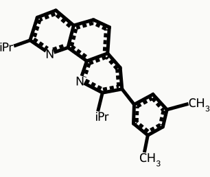 Cc1cc(C)cc(-c2cc3ccc4ccc(C(C)C)nc4c3nc2C(C)C)c1